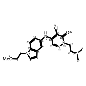 COCCn1ccc2cc(Nc3cnn(CCN(C)C)c(=O)c3Cl)ccc21